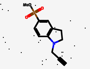 C#CCN1CCc2cc(S(=O)(=O)OC)ccc21